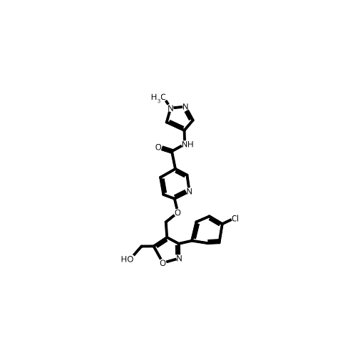 Cn1cc(NC(=O)c2ccc(OCc3c(-c4ccc(Cl)cc4)noc3CO)nc2)cn1